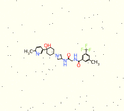 Cc1cc(C(=O)NCC(=O)NC2CN([C@H]3CC[C@@](O)(c4ccc(C)nc4)CC3)C2)cc(C(F)(F)F)c1